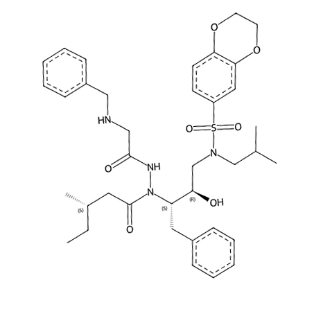 CC[C@H](C)CC(=O)N(NC(=O)CNCc1ccccc1)[C@@H](Cc1ccccc1)[C@H](O)CN(CC(C)C)S(=O)(=O)c1ccc2c(c1)OCCO2